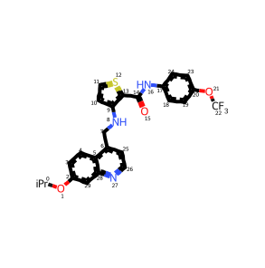 CC(C)Oc1ccc2c(CNc3ccsc3C(=O)Nc3ccc(OC(F)(F)F)cc3)ccnc2c1